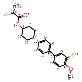 CCCC[C@H](F)C(=O)O[C@H]1CC[C@H](c2ccc(-c3ccc(OCC)c(F)c3)cc2)CC1